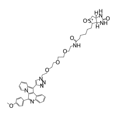 COc1ccc(-c2nc3ccccc3c3c(-c4cn(CCOCCOCCOCCNC(=O)CCCCCC5[C@H]6NC(=O)N[C@H]6C[S+]5[O-])nn4)c4ccccn4c23)cc1